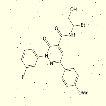 CCC(CO)NC(=O)c1cc(-c2ccc(OC)cc2)nn(-c2cccc(F)c2)c1=O